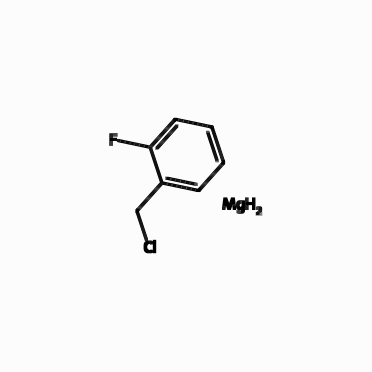 Fc1ccccc1CCl.[MgH2]